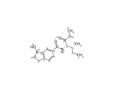 CC[C@@H](C)[C@H](NC(=O)c1ccc2c(c1)B(O)OC2)C(=O)OC